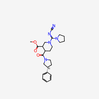 COC(=O)C1CN(C(=NC#N)N2CCCC2)CCC1C(=O)N1CC[C@H](c2ccccc2)C1